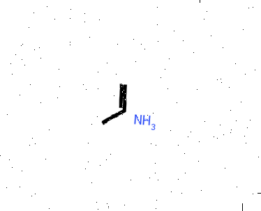 C=CC.N